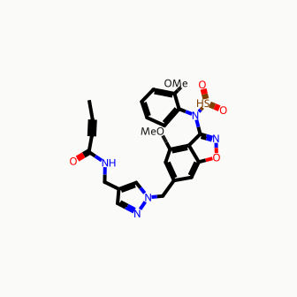 CC#CC(=O)NCc1cnn(Cc2cc(OC)c3c(N(c4ccccc4OC)[SH](=O)=O)noc3c2)c1